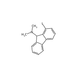 CN(C)C1c2ccccc2-c2cccc(I)c21